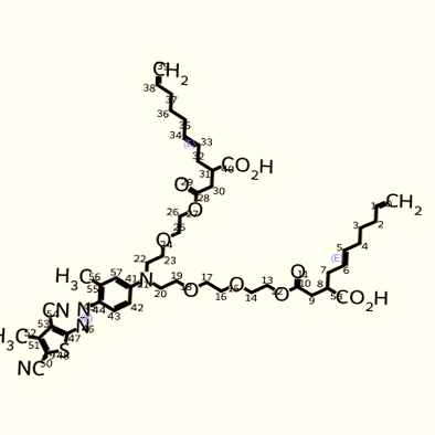 C=CCCC/C=C/CC(CC(=O)OCCOCCOCCN(CCOCCOC(=O)CC(C/C=C/CCCC=C)C(=O)O)c1ccc(/N=N/c2sc(C#N)c(C)c2C#N)c(C)c1)C(=O)O